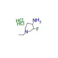 CCN1CCC(N)C(F)C1.Cl.Cl